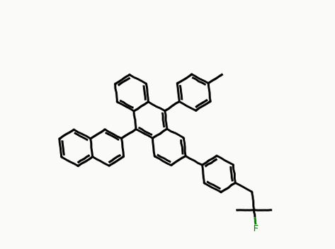 Cc1ccc(-c2c3ccccc3c(-c3ccc4ccccc4c3)c3ccc(-c4ccc(CC(C)(C)F)cc4)cc23)cc1